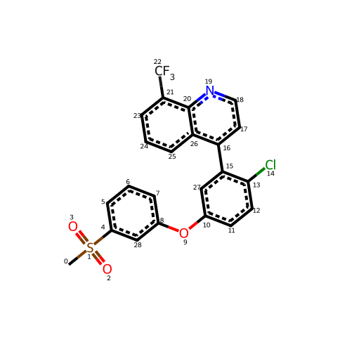 CS(=O)(=O)c1cccc(Oc2ccc(Cl)c(-c3ccnc4c(C(F)(F)F)cccc34)c2)c1